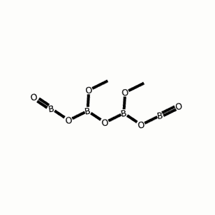 COB(OB=O)OB(OC)OB=O